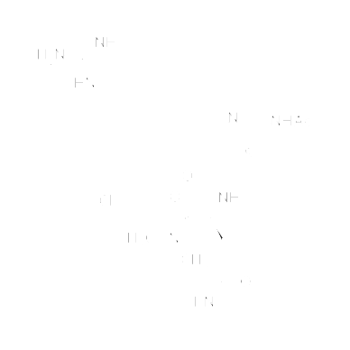 CC(=O)Nc1nc(CCc2ccc(NC(=N)N)cc2)c(C(=O)N[C@@H](CCC(N)=O)C(=O)N(C)C)s1.Cl